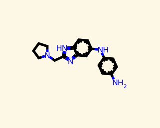 Nc1ccc(Nc2ccc3[nH]c(CN4CCCC4)nc3c2)cc1